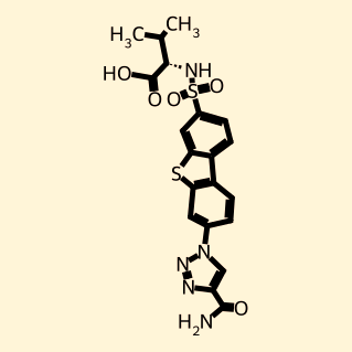 CC(C)[C@H](NS(=O)(=O)c1ccc2c(c1)sc1cc(-n3cc(C(N)=O)nn3)ccc12)C(=O)O